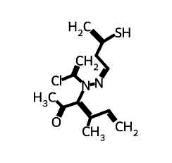 C=C/C(C)=C(/C(C)=O)N(/N=C\CC(=C)S)C(=C)Cl